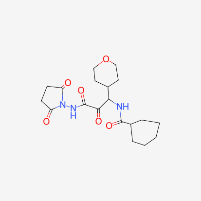 O=C(NN1C(=O)CCC1=O)C(=O)C(NC(=O)C1CCCCC1)C1CCOCC1